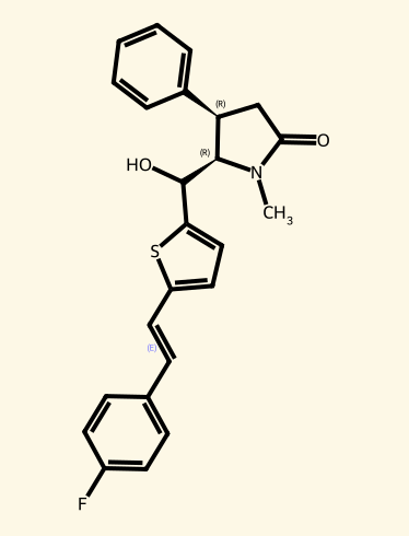 CN1C(=O)C[C@H](c2ccccc2)[C@@H]1C(O)c1ccc(/C=C/c2ccc(F)cc2)s1